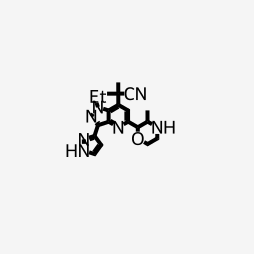 CCn1nc(-c2cc[nH]n2)c2nc(C3OCCNC3C)cc(C(C)(C)C#N)c21